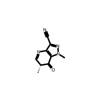 C[C@@H]1C=Nc2c(C#N)nn(C)c2C1=O